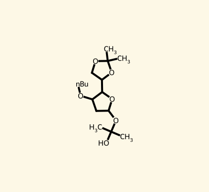 CCCCOC1CC(OC(C)(C)O)OC1C1COC(C)(C)O1